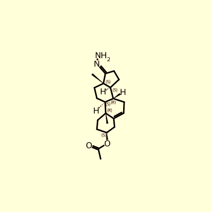 CC(=O)O[C@H]1CC[C@@]2(C)C(=CC[C@@H]3[C@@H]2CC[C@]2(C)C(=NN)CC[C@@H]32)C1